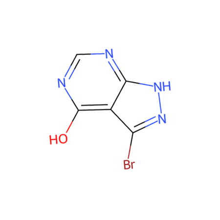 Oc1ncnc2[nH]nc(Br)c12